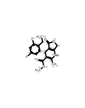 CCc1c(F)cc(F)cc1[C@H]1C(C(=O)OC)=C(C)NC2=C1C(=O)OC2